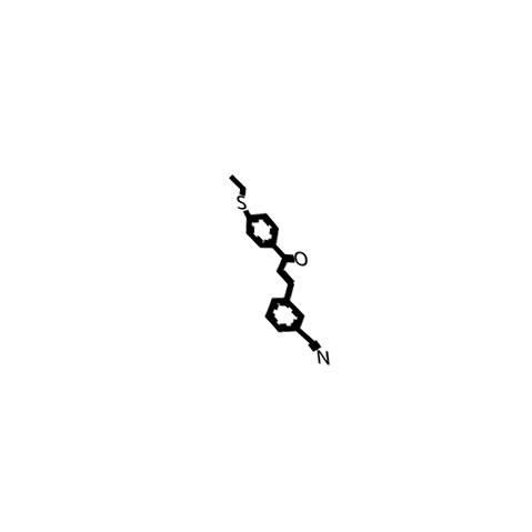 CCSc1ccc(C(=O)C=Cc2cccc(C#N)c2)cc1